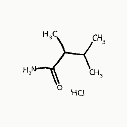 CC(C)C(C)C(N)=O.Cl